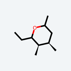 CCC1OC(C)C[C@@H](C)[C@H]1C